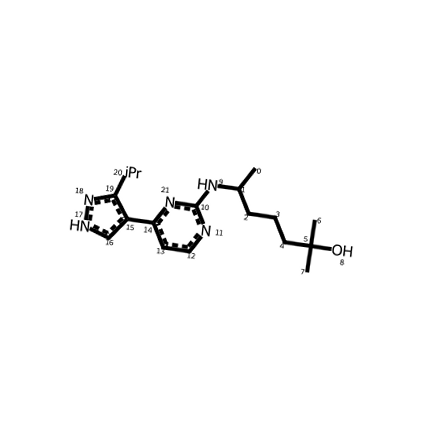 CC(CCCC(C)(C)O)Nc1nccc(-c2c[nH]nc2C(C)C)n1